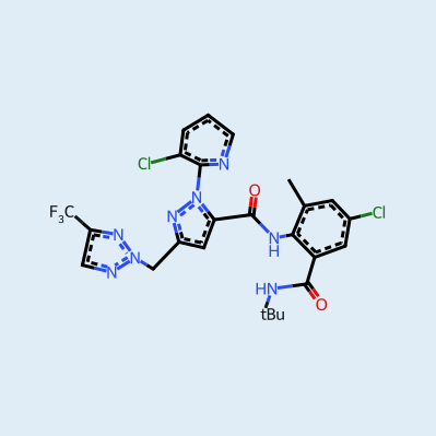 Cc1cc(Cl)cc(C(=O)NC(C)(C)C)c1NC(=O)c1cc(Cn2ncc(C(F)(F)F)n2)nn1-c1ncccc1Cl